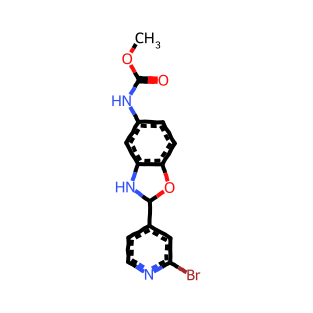 COC(=O)Nc1ccc2c(c1)NC(c1ccnc(Br)c1)O2